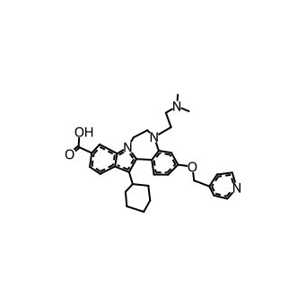 CN(C)CCN1CCn2c(c(C3CCCCC3)c3ccc(C(=O)O)cc32)-c2ccc(OCc3ccncc3)cc21